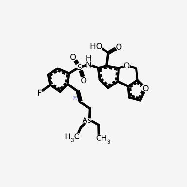 CC[As](CC)C/C=C/c1cc(F)ccc1S(=O)(=O)Nc1ccc2c(c1C(=O)O)OCc1occc1-2